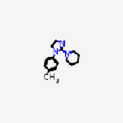 Cc1ccc(N2CCN=C2N2CCCCC2)cc1